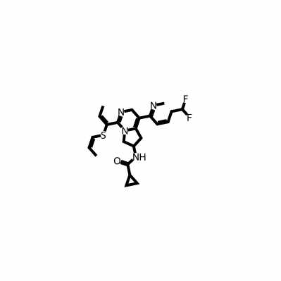 C/C=C\S/C(=C/C)C1=NCC(C(/C=C\CC(F)F)=N/C)=C2CC(NC(=O)C3CC3)CN12